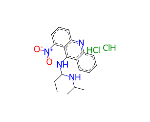 CCC(Nc1c2ccccc2nc2cccc([N+](=O)[O-])c12)NC(C)C.Cl.Cl